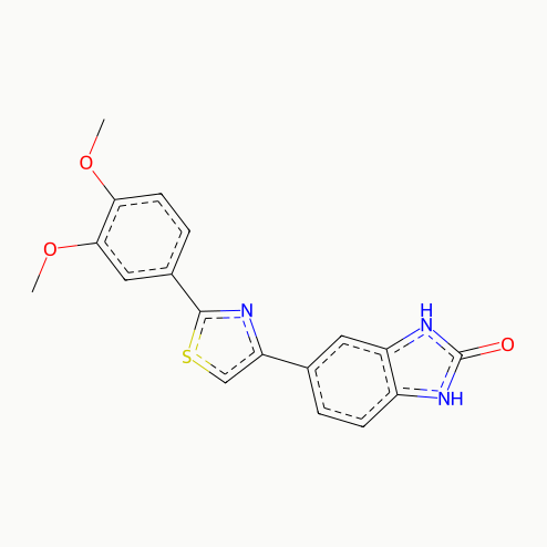 COc1ccc(-c2nc(-c3ccc4[nH]c(=O)[nH]c4c3)cs2)cc1OC